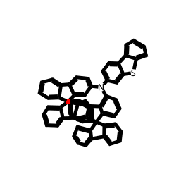 c1ccc2c(c1)-c1ccccc1C21c2ccccc2-c2ccc(N(c3ccc4c(c3)sc3ccccc34)c3cccc4c3-c3ccccc3C43c4ccccc4-c4ccccc43)cc21